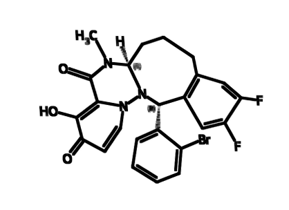 CN1C(=O)c2c(O)c(=O)ccn2N2[C@@H](c3ccccc3Br)c3cc(F)c(F)cc3CCC[C@H]12